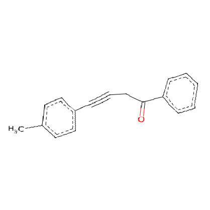 Cc1ccc(C#CCC(=O)c2ccccc2)cc1